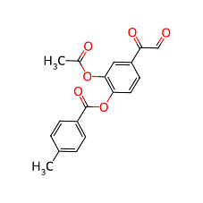 CC(=O)Oc1cc(C(=O)C=O)ccc1OC(=O)c1ccc(C)cc1